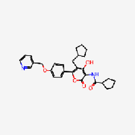 O=C(Nc1c(O)c(CC2CCCC2)c(-c2ccc(OCc3cccnc3)cc2)oc1=O)C1CCCC1